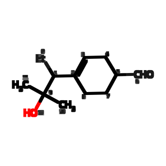 CCC(C1=CCC(C=O)CC1)C(C)(C)O